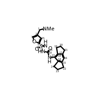 CNCc1coc([S@](=N)(=O)NC(=O)Nc2c3c(cc4c2CCC4)CCC3)c1